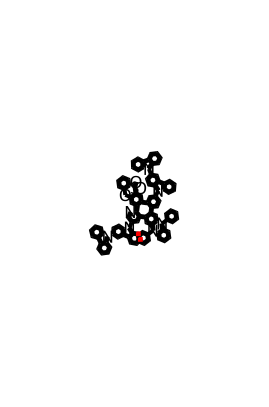 O=S1(=O)c2ccccc2Oc2cc3c(cc21)c1cc(-n2c4ccccc4c4cc(-n5c6ccccc6c6ccccc65)ccc42)ccc1c1cc2c(cc1c1cc(-n4c5ccccc5c5cc(-n6c7ccccc7c7ccccc76)ccc54)cnc13)n(-c1ccccc1)c1ccccc1n2-c1ccccc1